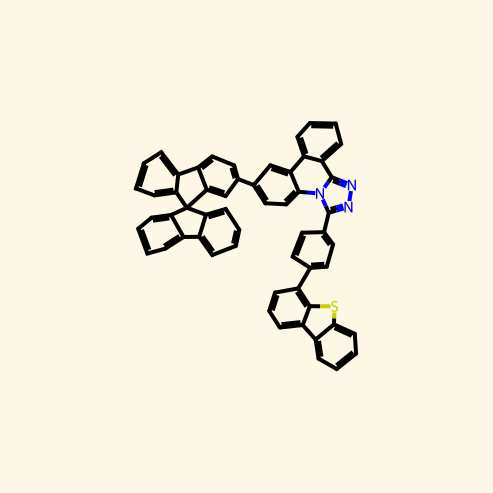 c1ccc2c(c1)-c1ccccc1C21c2ccccc2-c2ccc(-c3ccc4c(c3)c3ccccc3c3nnc(-c5ccc(-c6cccc7c6sc6ccccc67)cc5)n43)cc21